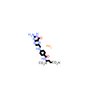 Nc1nc2ncc(CNc3ccc(C(=O)N[C@@H](CCC(=O)O)C(=O)O)cc3)nc2c(=O)[nH]1.P